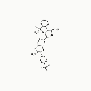 CCS(=O)(=O)c1ccc(-c2cc3cc(-c4cnc(OC(C)C)c(-c5ccccc5S(N)(=O)=O)c4)ccc3nc2N)cc1